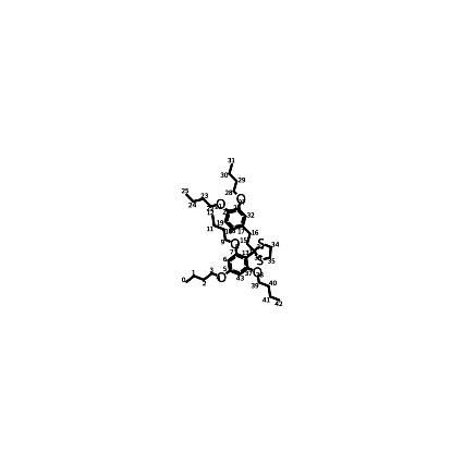 CCCCOc1cc(OCCCC)c(C2(CCc3ccc(OCCCC)c(OCCCC)c3)SCCS2)c(OCCCC)c1